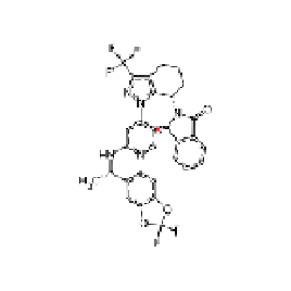 C[C@H](Nc1cc(-n2nc(C(F)(F)F)c3c2[C@@H](N2C(=O)c4ccccc4C2=O)CCC3)ccn1)c1ccc2c(c1)OC(F)(F)O2